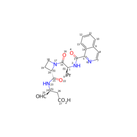 CC(C)[C@H](NC(=O)c1nccc2ccccc12)C(=O)N1CC[C@H]1C(=O)N[C@H](C=O)CC(=O)O